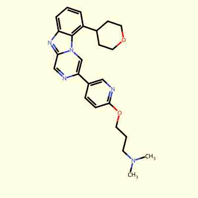 CN(C)CCCOc1ccc(-c2cn3c(cn2)nc2cccc(C4CCOCC4)c23)cn1